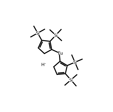 C[Si](C)(C)C1=CC[C]([Eu][C]2=C([Si](C)(C)C)C([Si](C)(C)C)=CC2)=C1[Si](C)(C)C.[H-]